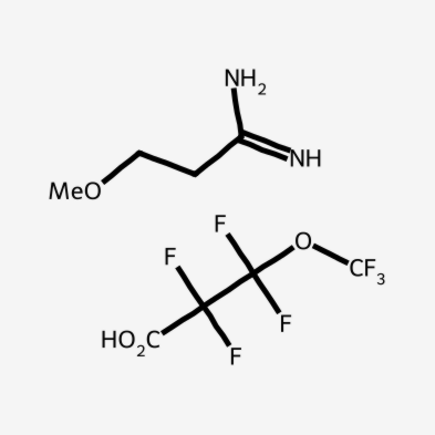 COCCC(=N)N.O=C(O)C(F)(F)C(F)(F)OC(F)(F)F